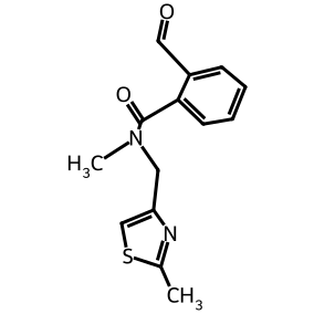 Cc1nc(CN(C)C(=O)c2ccccc2C=O)cs1